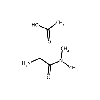 CC(=O)O.CN(C)C(=O)CN